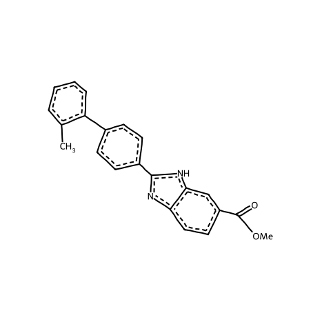 COC(=O)c1ccc2nc(-c3ccc(-c4ccccc4C)cc3)[nH]c2c1